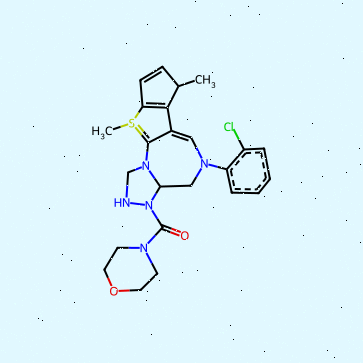 CC1C=CC2=C1C1=CN(c3ccccc3Cl)CC3N(CNN3C(=O)N3CCOCC3)C1=S2C